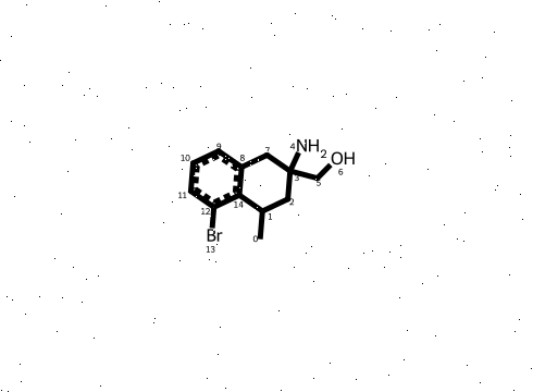 CC1CC(N)(CO)Cc2cccc(Br)c21